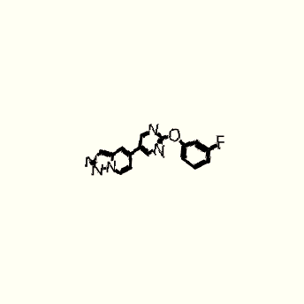 Fc1cccc(Oc2ncc(-c3ccn4nncc4c3)cn2)c1